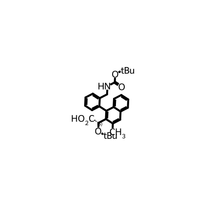 Cc1cc2ccccc2c(-c2ccccc2CNC(=O)OC(C)(C)C)c1[C@H](OC(C)(C)C)C(=O)O